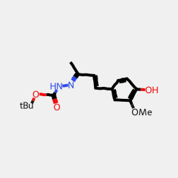 COc1cc(/C=C/C(C)=NNC(=O)OC(C)(C)C)ccc1O